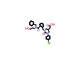 O=C(O)CC1CN(Cc2ccccc2C(=O)N(CCCO)Cc2ccccc2)C(=O)N(c2ccc(Br)cc2)C1